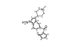 CN1CCC(c2cn(N)c3ccc(C(=O)c4cccn4C)cc23)CC1